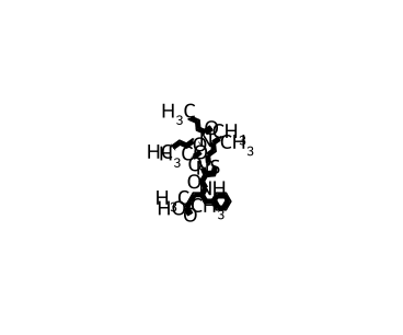 C#CCCCON(C(=O)CCCC)C(CC(OC(C)=O)c1nc(C(=O)NC(Cc2ccccc2)CC(C)(C)C(=O)O)cs1)C(C)C